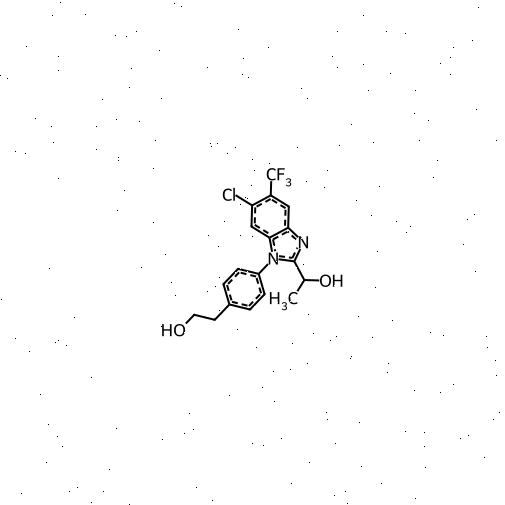 CC(O)c1nc2cc(C(F)(F)F)c(Cl)cc2n1-c1ccc(CCO)cc1